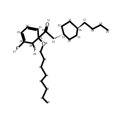 CCCCCCCCOC1(C(=O)C[C@H]2CC[C@H](CCCC)CC2)C=CC=C(F)C1F